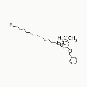 CC(C)(C)CC(COCCCCCCCCCCCCCCCF)OCc1ccccc1